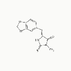 CN1C(=O)C(=Cc2ccc3c(c2)OCO3)NC1=S